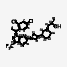 CC(c1ccc(Cl)cc1Cl)n1nc(C(F)(F)F)c2ncc(N3CC(C4CCCN(C[C@@H](C)O)C4)C3)nc21